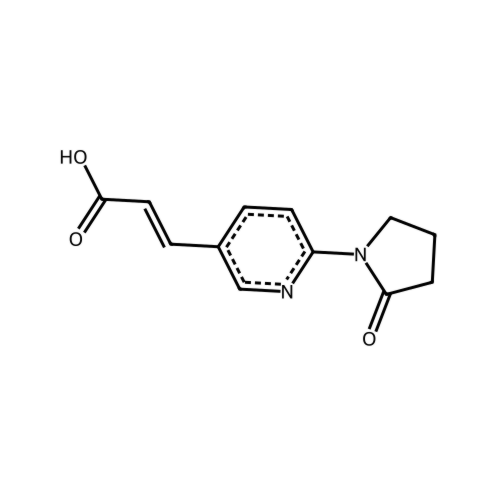 O=C(O)C=Cc1ccc(N2CCCC2=O)nc1